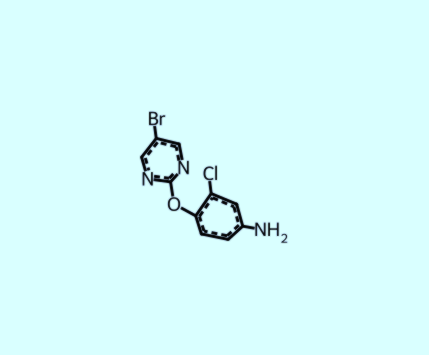 Nc1ccc(Oc2ncc(Br)cn2)c(Cl)c1